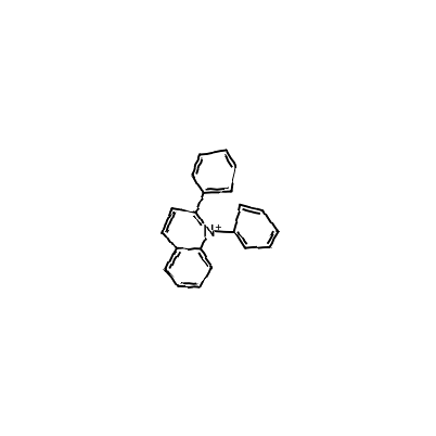 c1ccc(-c2ccc3ccccc3[n+]2-c2ccccc2)cc1